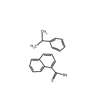 CC(C)c1ccccc1.S=C(S)c1cccc2ccccc12